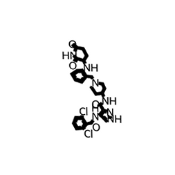 O=C1CCC(Nc2ccccc2CN2CCC(NC(=O)c3n[nH]cc3NC(=O)c3c(Cl)cccc3Cl)CC2)C(=O)N1